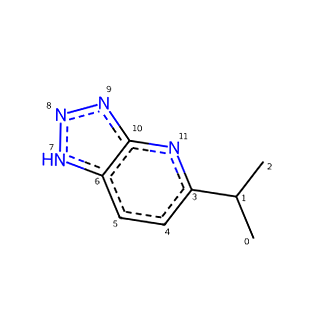 CC(C)c1ccc2[nH]nnc2n1